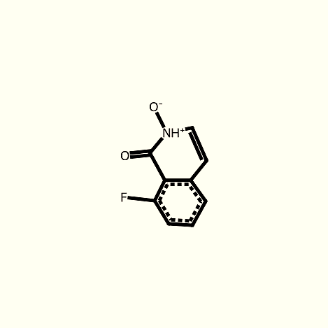 O=C1c2c(F)cccc2C=C[NH+]1[O-]